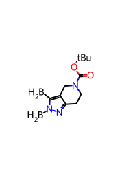 Bc1c2c(nn1B)CCN(C(=O)OC(C)(C)C)C2